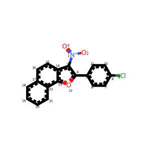 O=[N+]([O-])c1c(-c2ccc(Cl)cc2)oc2c1ccc1ccccc12